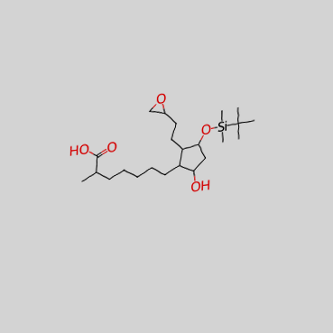 CC(CCCCCC1C(O)CC(O[Si](C)(C)C(C)(C)C)C1CCC1CO1)C(=O)O